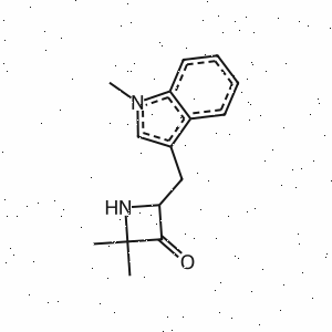 Cn1cc(CC2NC(C)(C)C2=O)c2ccccc21